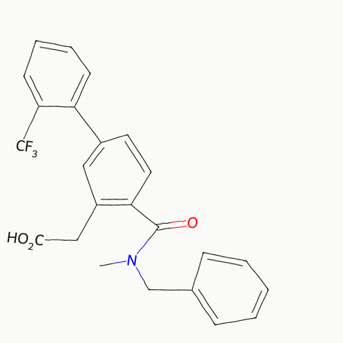 CN(Cc1ccccc1)C(=O)c1ccc(-c2ccccc2C(F)(F)F)cc1CC(=O)O